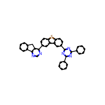 c1ccc(-c2nc(-c3ccccc3)nc(-c3ccc4sc5ccc(-c6ncnc7c6Cc6ccccc6-7)cc5c4c3)n2)cc1